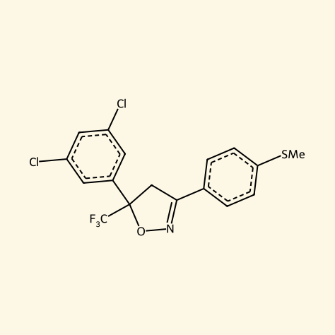 CSc1ccc(C2=NOC(c3cc(Cl)cc(Cl)c3)(C(F)(F)F)C2)cc1